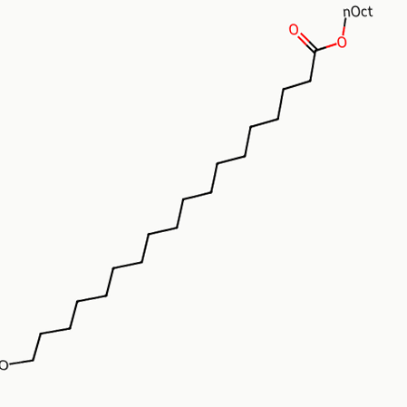 CCCCCCCCOC(=O)CCCCCCCCCCCCCCCCCOC(C)=O